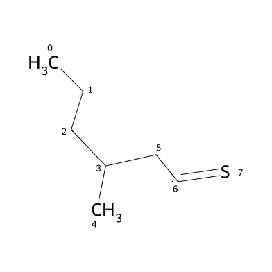 CCCC(C)C[C]=S